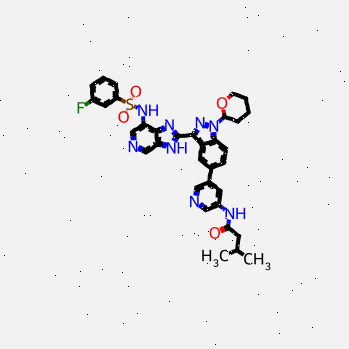 CC(C)CC(=O)Nc1cncc(-c2ccc3c(c2)c(-c2nc4c(NS(=O)(=O)c5cccc(F)c5)cncc4[nH]2)nn3C2CCCCO2)c1